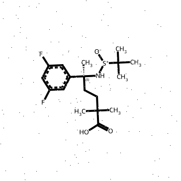 CC(C)(CC[C@](C)(N[S+]([O-])C(C)(C)C)c1cc(F)cc(F)c1)C(=O)O